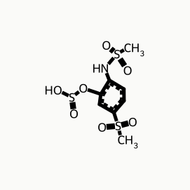 CS(=O)(=O)Nc1ccc(S(C)(=O)=O)cc1OS(=O)O